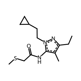 CCc1nn(CCC2CC2)c(NC(=O)CSC)c1C